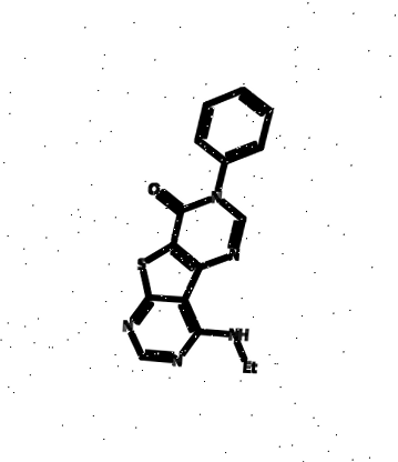 CCNc1ncnc2sc3c(=O)n(-c4ccccc4)cnc3c12